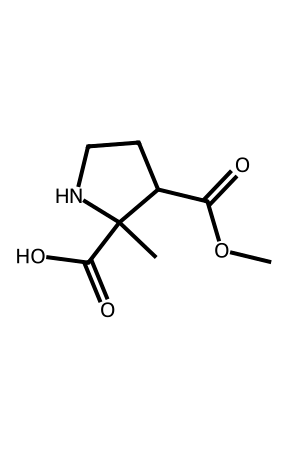 COC(=O)C1CCNC1(C)C(=O)O